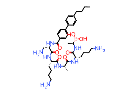 CCCCc1ccc(-c2ccc(C(=O)N[C@@H](CN)C(=O)N[C@@H](CCCCN)C(=O)N[C@@H](C)C(=O)N[C@@H](CCCCN)C(=O)N[C@@H](C)B(O)O)cc2)cc1